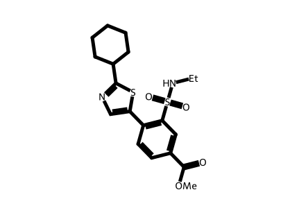 CCNS(=O)(=O)c1cc(C(=O)OC)ccc1-c1cnc(C2CCCCC2)s1